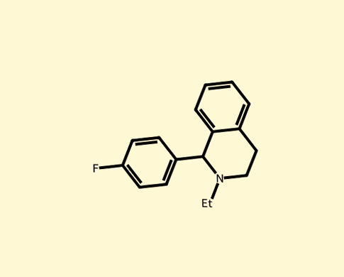 CCN1CCc2ccccc2C1c1ccc(F)cc1